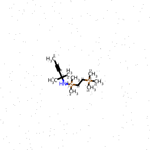 CC#CC(C)(C)NS(C)(C)CCS(C)(C)C